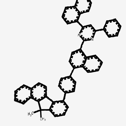 CC1(C)c2cccc(-c3ccc(-c4ccc(-c5nc(-c6ccccc6)cc(-c6cccc7ccccc67)n5)c5ccccc45)cc3)c2-c2ccc3ccccc3c21